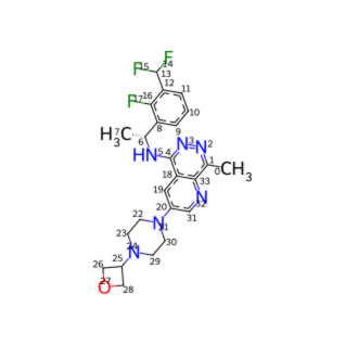 Cc1nnc(N[C@H](C)c2cccc(C(F)F)c2F)c2cc(N3CCN(C4COC4)CC3)cnc12